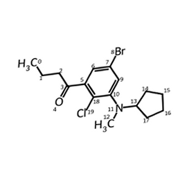 CCCC(=O)c1cc(Br)cc(N(C)C2CCCC2)c1Cl